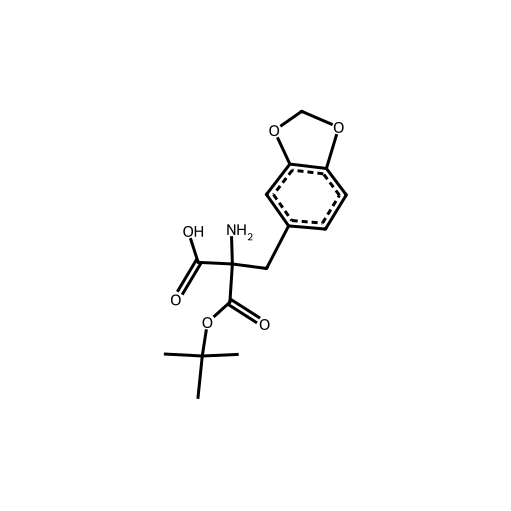 CC(C)(C)OC(=O)C(N)(Cc1ccc2c(c1)OCO2)C(=O)O